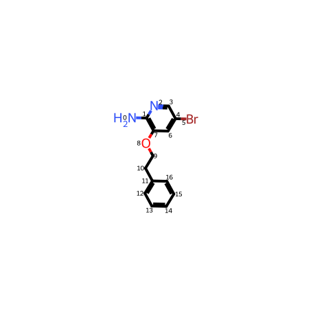 Nc1ncc(Br)cc1OCCc1ccccc1